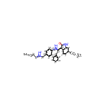 CCOC(=O)c1ccc2c(c1)NC(=O)/C2=C(\Nc1ccc(CNCCOC)cc1)c1ccccc1